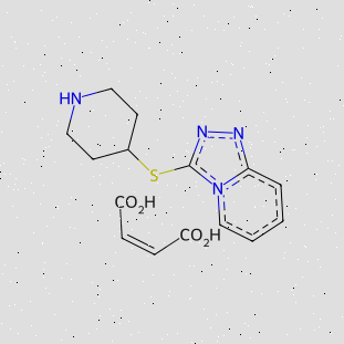 O=C(O)/C=C\C(=O)O.c1ccn2c(SC3CCNCC3)nnc2c1